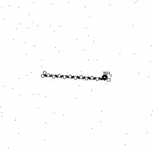 COC(COCCOCCOCCOCCOCCOCCOCCOCCOCCOCCc1cc(N)cc(Cl)c1)OC